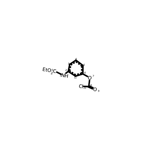 CCOC(=O)Nc1cccc(OC(=O)Cl)c1